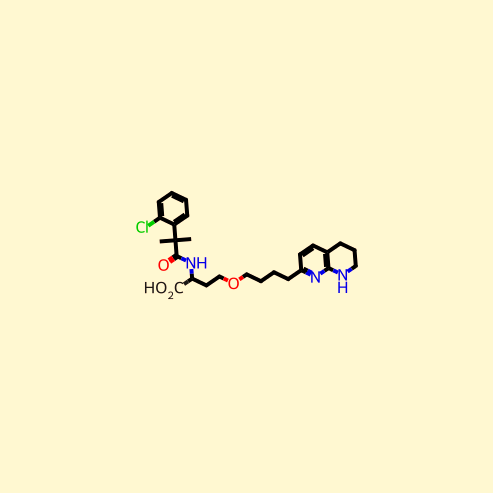 CC(C)(C(=O)NC(CCOCCCCc1ccc2c(n1)NCCC2)C(=O)O)c1ccccc1Cl